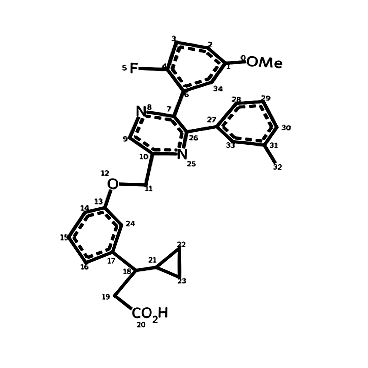 COc1ccc(F)c(-c2ncc(COc3cccc(C(CC(=O)O)C4CC4)c3)nc2-c2cccc(C)c2)c1